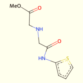 COC(=O)CNCC(=O)Nc1cccs1